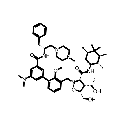 COc1c(CN2O[C@@H](CO)[C@@H]([C@H](C)O)[C@H]2C(=O)N[C@H]2C[C@@H](C)C(C)(C)[C@@H](C)[C@@H]2C)cccc1-c1cc(C(=O)N[C@H](Cc2ccccc2)CN2CCN(C)CC2)cc(N(C)C)c1